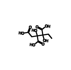 CCC(O)(C(=O)O)C(O)(CC(=O)O)C(=O)O